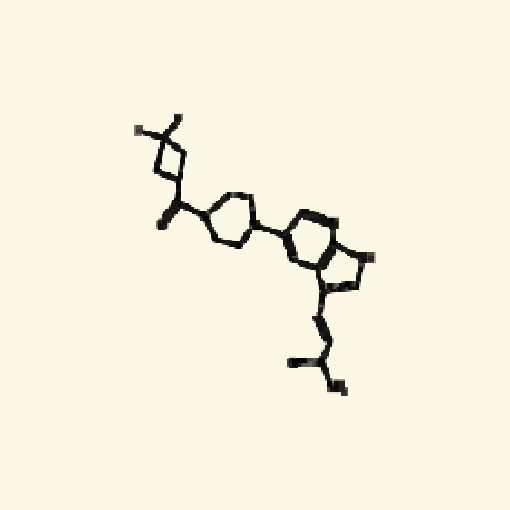 NC(=O)C=Cc1c[nH]c2ncc(N3CCN(C(=O)C4CC(F)(F)C4)CC3)cc12